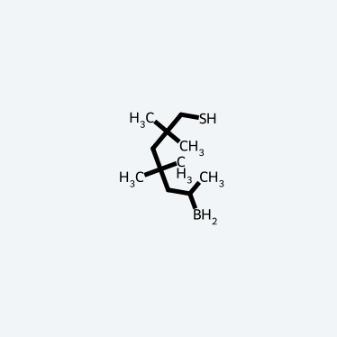 BC(C)CC(C)(C)CC(C)(C)CS